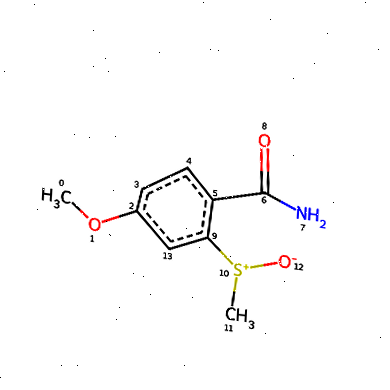 COc1ccc(C(N)=O)c([S+](C)[O-])c1